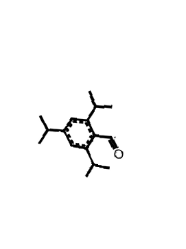 CC(C)c1cc(C(C)C)c([C]=O)c(C(C)C)c1